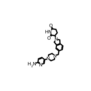 Nc1ccc(N2CCN(Cc3ccc4c(c3)CN(C3CCC(=O)NC3=O)C4)CC2)cn1